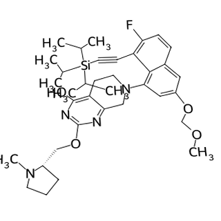 COCOc1cc(N2CCc3c(O)nc(OC[C@@H]4CCCN4C)nc3C2)c2c(C#C[Si](C(C)C)(C(C)C)C(C)C)c(F)ccc2c1